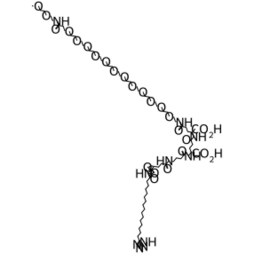 [O]CCOCCNC(=O)CCOCCOCCOCCOCCOCCOCCOCCOCCOCCOCCOCCOCCNC(=O)CCC(NC(=O)CCC(NC(=O)CCCNC(=O)CCCS(=O)(=O)NC(=O)CCCCCCCCCCCCCCCc1nnn[nH]1)C(=O)O)C(=O)O